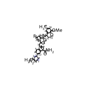 C=N/C=C(\C=C/N)c1ccc2c(c1)c(C(N)=O)nn2CC(=O)N1C[C@H](F)C[C@H]1C(=O)NC1CCOc2c(OC)cc(C)cc21